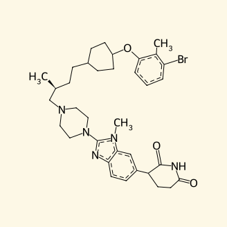 Cc1c(Br)cccc1OC1CCC(CC[C@H](C)CN2CCN(c3nc4ccc(C5CCC(=O)NC5=O)cc4n3C)CC2)CC1